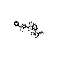 Cc1c([C@H](C)Nc2nccc(N3C(=O)OCC3C(C)C)n2)cnn1Cc1ccccc1